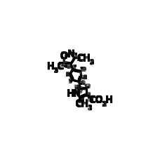 Cc1noc(C)c1-c1ccc(-c2cc(C(=O)O)c(C)[nH]2)cc1